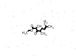 CCOC(=O)C(C)C(=O)C(C)CC=C(C)C